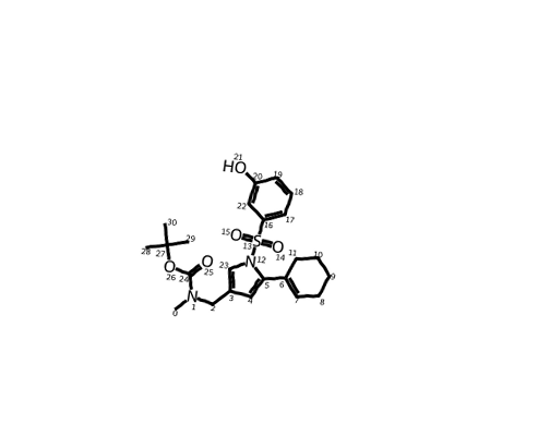 CN(Cc1cc(C2=CCCCC2)n(S(=O)(=O)c2cccc(O)c2)c1)C(=O)OC(C)(C)C